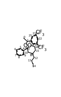 CC(O[C@@]1(c2ccccc2)C[C@H](CCI)CCO1)c1cc(C(F)(F)F)cc(C(F)(F)F)c1